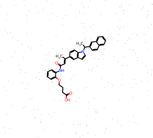 CC(=CC(=O)Nc1ccccc1OCCCC(=O)O)c1ccc2c(ccn2C(C)c2ccc3ccccc3c2)c1